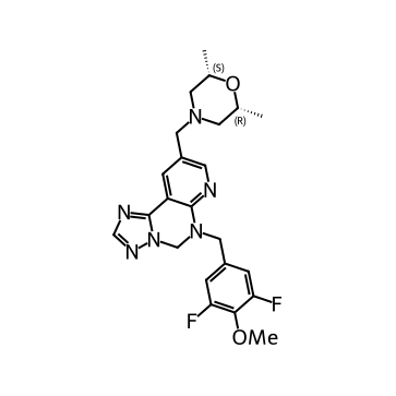 COc1c(F)cc(CN2Cn3ncnc3-c3cc(CN4C[C@@H](C)O[C@@H](C)C4)cnc32)cc1F